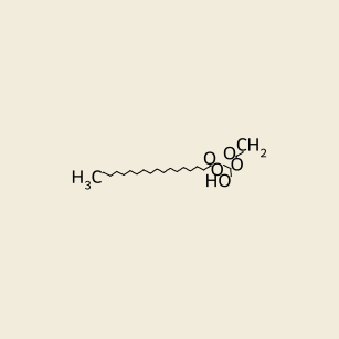 C=CC(=O)OC(CO)COC(=O)CCCCCCCCCCCCCCCCC